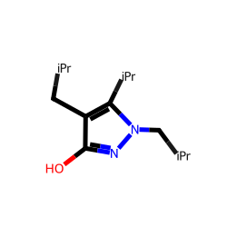 CC(C)Cc1c(O)nn(CC(C)C)c1C(C)C